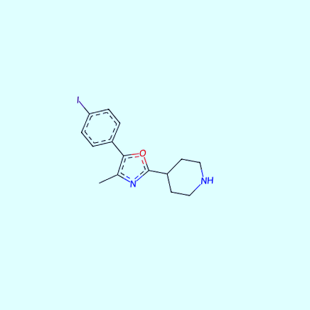 Cc1nc(C2CCNCC2)oc1-c1ccc(I)cc1